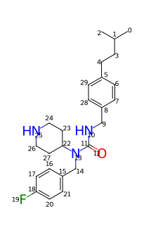 CC(C)CCc1ccc(CNC(=O)N(Cc2ccc(F)cc2)C2CCNCC2)cc1